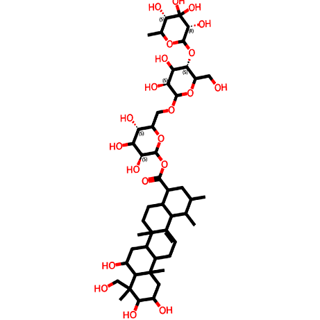 CC1CC(C(=O)OC2OC(COC3OC(CO)[C@@H](OC4OC(C)[C@H](O)C(O)(O)[C@@H]4O)C(O)[C@@H]3O)[C@@H](O)C(O)[C@@H]2O)C2CCC3(C)C(=CCC4C3CC(O)C3C(C)(CO)C(O)C(O)CC43C)C2C1C